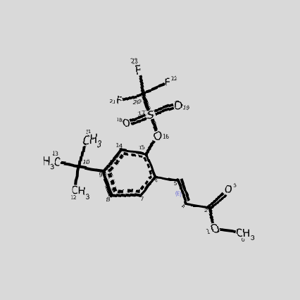 COC(=O)/C=C/c1ccc(C(C)(C)C)cc1OS(=O)(=O)C(F)(F)F